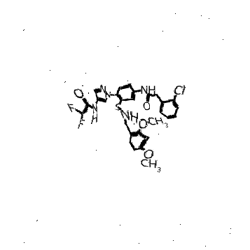 COc1ccc(CNSc2cc(NC(=O)Cc3ccccc3Cl)ccc2-n2cc(NC(=O)C(F)F)cn2)c(OC)c1